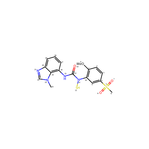 COc1ccc(S(C)(=O)=O)cc1N(S)C(=O)Nc1cccc2ncn(C)c12